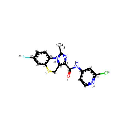 Cc1nc(C(=O)Nc2ccnc(Cl)c2)c2n1-c1ccc(F)cc1SC2